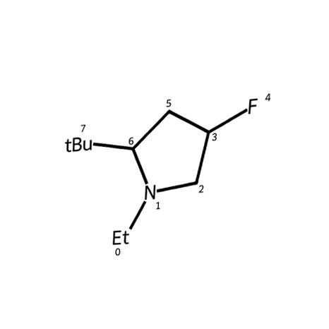 CCN1CC(F)CC1C(C)(C)C